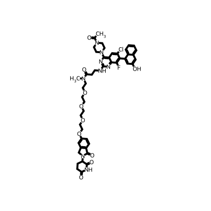 CC(=O)N1CCN(c2nc(NCCC(=O)N(C)CCOCCOCCOCCOc3ccc4c(c3)CN(C3CCC(=O)NC3=O)C4=O)nc3c(F)c(-c4cc(O)cc5ccccc45)c(Cl)cc23)CC1